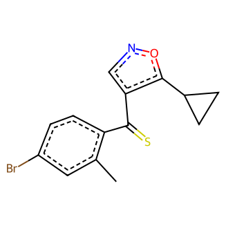 Cc1cc(Br)ccc1C(=S)c1cnoc1C1CC1